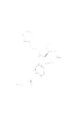 CCCOC(=O)c1ccc(C2NC(=O)NC(CC)=C2C(=O)OCC2CCCCC2)cc1